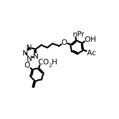 C=C1C=C(On2nnc(CCCCOc3ccc(C(C)=O)c(O)c3CCC)n2)C(C(=O)O)=CC1